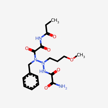 CCC(=O)NC(=O)C(=O)N(Cc1ccccc1)N(CCCOC)NC(=O)C(N)=O